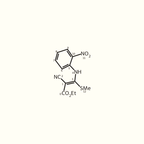 CCOC(=O)C(C#N)=C(Nc1ccccc1[N+](=O)[O-])SC